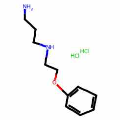 Cl.Cl.NCCCNCCOc1ccccc1